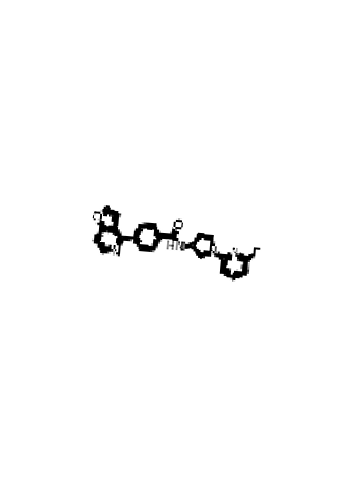 O=C(NC1CCN(c2cccc(F)n2)C1)c1ccc(-c2nccc3occc23)cc1